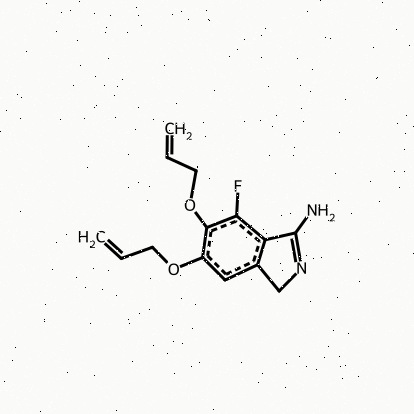 C=CCOc1cc2c(c(F)c1OCC=C)C(N)=NC2